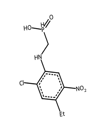 CCc1cc(Cl)c(NC[PH](=O)O)cc1[N+](=O)[O-]